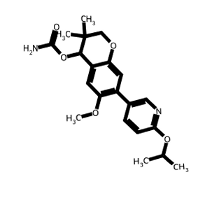 COc1cc2c(cc1-c1ccc(OC(C)C)nc1)OCC(C)(C)C2OC(N)=O